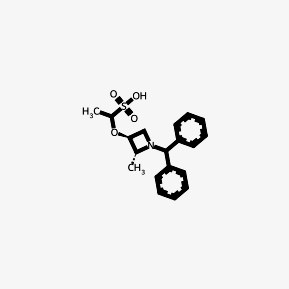 CC(O[C@H]1CN(C(c2ccccc2)c2ccccc2)[C@@H]1C)S(=O)(=O)O